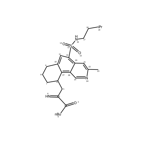 CCCCC(=O)C(=N)CC1CCCc2cc(S(=O)(=O)NCCC(C)C)c3cc(C)ncc3c21